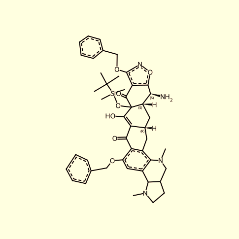 CN1CC2CCN(C)C2c2cc(OCc3ccccc3)c3c(c21)C[C@H]1C[C@H]2[C@H](N)c4onc(OCc5ccccc5)c4C(=O)C2(O[Si](C)(C)C(C)(C)C)C(O)=C1C3=O